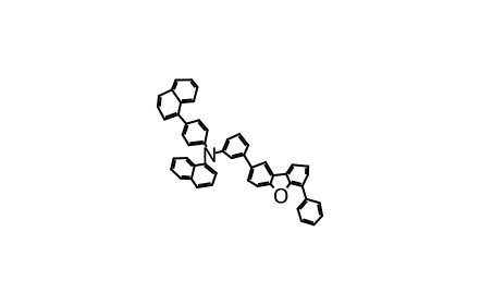 c1ccc(-c2cccc3c2oc2ccc(-c4cccc(N(c5ccc(-c6cccc7ccccc67)cc5)c5cccc6ccccc56)c4)cc23)cc1